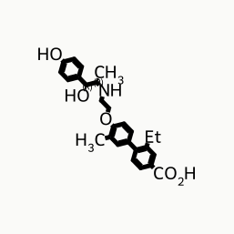 CCc1cc(C(=O)O)ccc1-c1ccc(OCCN[C@H](C)[C@H](O)c2ccc(O)cc2)c(C)c1